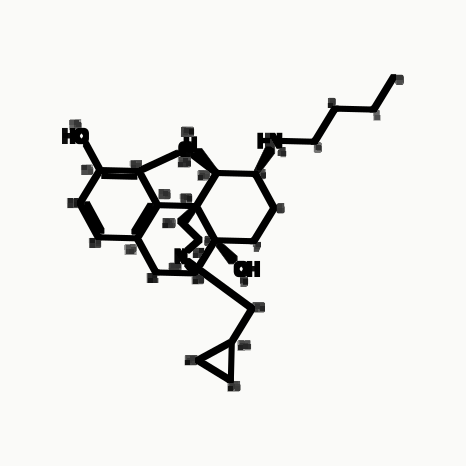 CCCCN[C@H]1CC[C@]2(O)C3Cc4ccc(O)c5c4[C@]2(CCN3CC2CC2)[C@@H]1O5